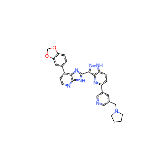 c1cc(-c2ccc3c(c2)OCO3)c2nc(-c3n[nH]c4ccc(-c5cncc(CN6CCCC6)c5)nc34)[nH]c2n1